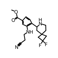 COC(=O)c1ccc(C2CC3(CCN2)CC(F)(F)C3)c(NCCC#N)c1